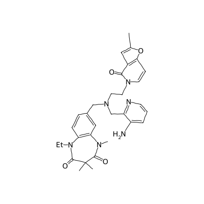 CCN1C(=O)C(C)(C)C(=O)N(C)c2cc(CN(CCn3ccc4oc(C)cc4c3=O)Cc3ncccc3N)ccc21